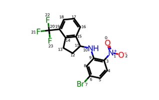 O=[N+]([O-])c1ccc(Br)cc1NC1CCc2c1cccc2C(F)(F)F